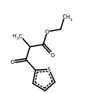 CCOC(=O)C(C)C(=O)c1cccs1